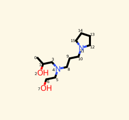 CC(O)CN(CCO)CCCN1CCCC1